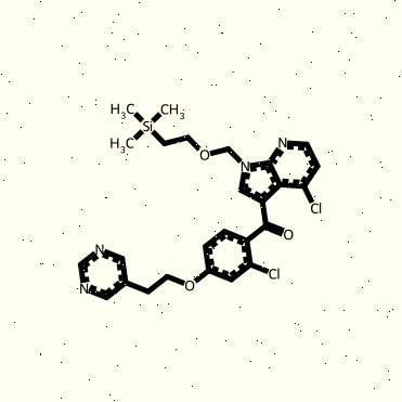 C[Si](C)(C)CCOCn1cc(C(=O)c2ccc(OCCc3cncnc3)cc2Cl)c2c(Cl)ccnc21